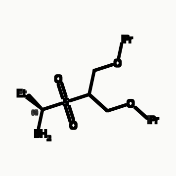 B[C@@H](CC)S(=O)(=O)C(COC(C)C)COC(C)C